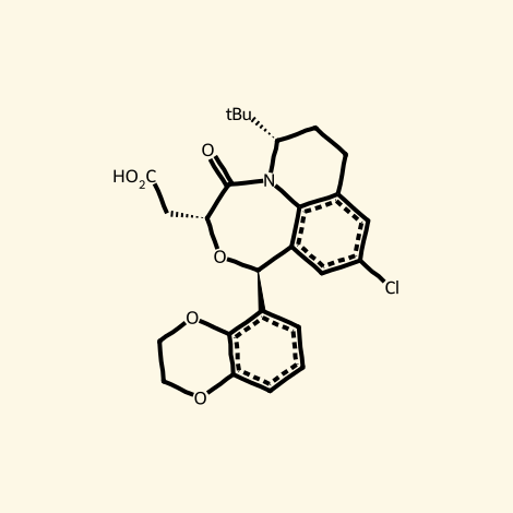 CC(C)(C)[C@@H]1CCc2cc(Cl)cc3c2N1C(=O)[C@@H](CC(=O)O)O[C@@H]3c1cccc2c1OCCO2